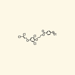 CCOc1ccc(C(=O)OCCCOc2c(Cl)cc(OCC=C(Cl)Cl)cc2Cl)cc1